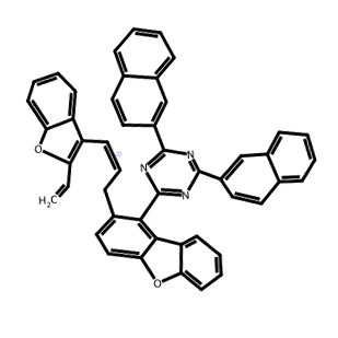 C=Cc1oc2ccccc2c1/C=C\Cc1ccc2oc3ccccc3c2c1-c1nc(-c2ccc3ccccc3c2)nc(-c2ccc3ccccc3c2)n1